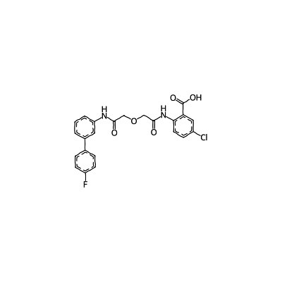 O=C(COCC(=O)Nc1ccc(Cl)cc1C(=O)O)Nc1cccc(-c2ccc(F)cc2)c1